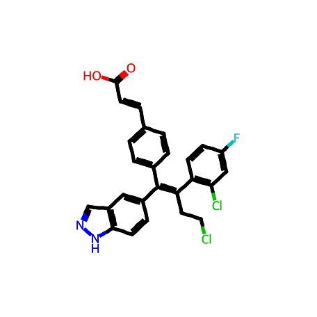 O=C(O)/C=C/c1ccc(/C(=C(/CCCl)c2ccc(F)cc2Cl)c2ccc3[nH]ncc3c2)cc1